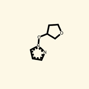 c1cnn(OC2CCOC2)c1